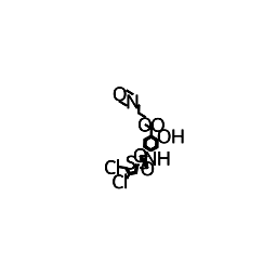 O=C(OCCCN1CCOCC1)c1ccc(NS(=O)(=O)c2cc(Cl)c(Cl)s2)cc1O